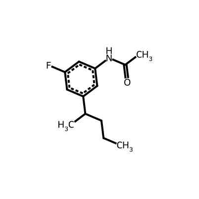 CCCC(C)c1cc(F)cc(NC(C)=O)c1